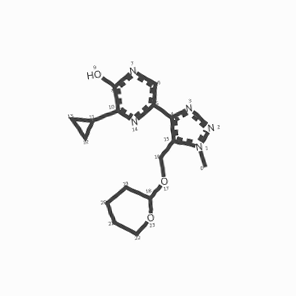 Cn1nnc(-c2cnc(O)c(C3CC3)n2)c1COC1CCCCO1